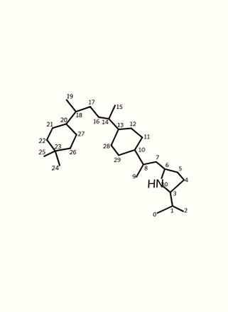 CC(C)C1CCC(CC(C)C2CCC(C(C)CCC(C)C3CCC(C)(C)CC3)CC2)N1